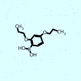 CCCOc1ccc(B(O)O)c(OCCC)c1